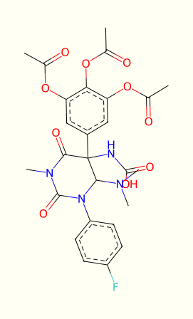 CC(=O)Oc1cc(C2(NC(=O)O)C(=O)N(C)C(=O)N(c3ccc(F)cc3)C2N(C)C)cc(OC(C)=O)c1OC(C)=O